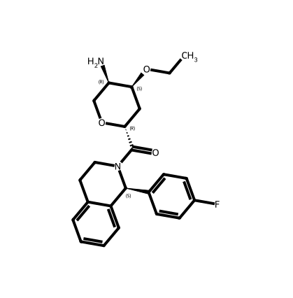 CCO[C@H]1C[C@H](C(=O)N2CCc3ccccc3[C@@H]2c2ccc(F)cc2)OC[C@H]1N